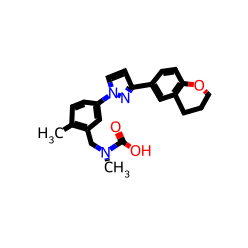 Cc1ccc(-n2ccc(-c3ccc4c(c3)CCCO4)n2)cc1CN(C)C(=O)O